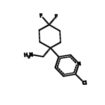 NCC1(c2ccc(Cl)nc2)CCC(F)(F)CC1